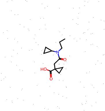 CCCN(C(=O)CC1(C(=O)O)CC1)C1CC1